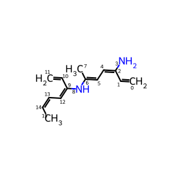 C=C/C(N)=C\C=C(/C)N/C(C=C)=C/C=C\C